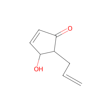 C=CCC1C(=O)C=CC1O